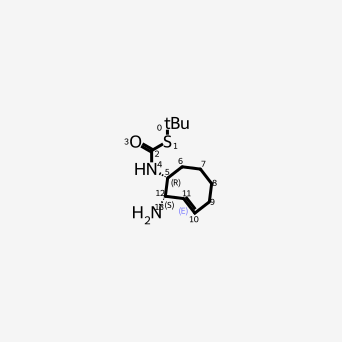 CC(C)(C)SC(=O)N[C@@H]1CCCC/C=C/[C@@H]1N